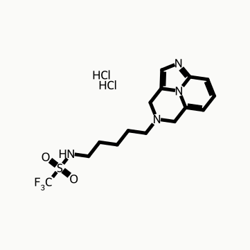 Cl.Cl.O=S(=O)(NCCCCCN1Cc2cccc3ncc(n23)C1)C(F)(F)F